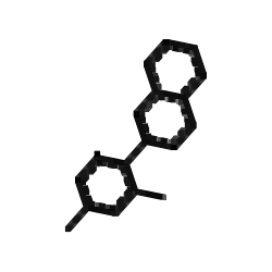 Cc1c[c]c(-c2ccc3ccccc3c2)c(C)c1